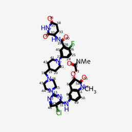 CNC(=O)COc1cc2cc(Nc3nc(N4CCN(CC5CCN(c6ccc(F)c(C(=O)NC7CCC(=O)NC7=O)c6)CC5)CC4)ncc3Cl)ccc2n(C)c1=O